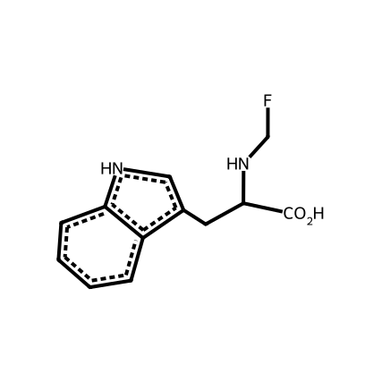 O=C(O)C(Cc1c[nH]c2ccccc12)NCF